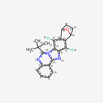 CC(C)(C)c1nc2ccccc2c2nc3c(F)c4c(c(F)c3n12)C1CCC4O1